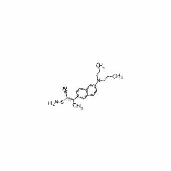 CCCN(CCC)c1ccc2cc(/C(C)=C(\C#N)SN)ccc2c1